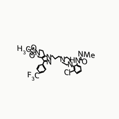 CNC(=O)Nc1cccc(Cl)c1N1CCN(CCCn2nc(-c3ccc(C(F)(F)F)cc3)c3c2CCN(S(C)(=O)=O)C3)CC1